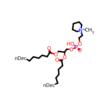 CCCCCCCCCCCCCCCC(=O)OCC(COP(=O)(O)OCC[N+]1(C)CCCCC1)OC(=O)CCCCCCCCCCCCCCC